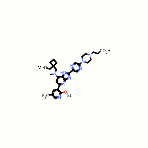 CCOc1ncc(C(F)(F)F)cc1-c1cc(N(C)CC2(COC)CCC2)c2[nH]c(-c3cnc(N4CCN(CCC(=O)O)CC4)cn3)nc2n1